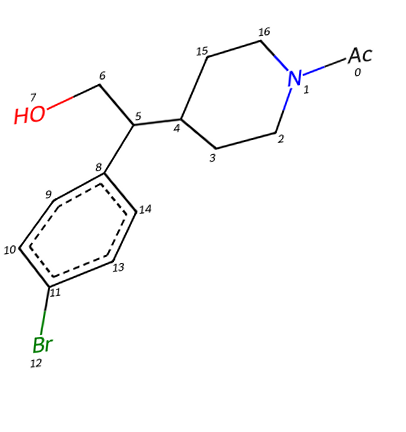 CC(=O)N1CCC(C(CO)c2ccc(Br)cc2)CC1